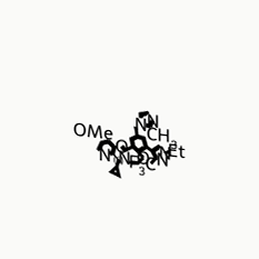 CCn1cc(-c2cc(Cn3ccnc3C)cc3c2OCCN([C@H](c2cc(OC)ccn2)C2CC2)C3=O)c(C(F)(F)F)n1